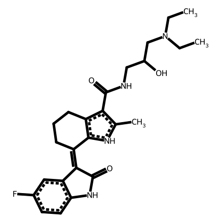 CCN(CC)CC(O)CNC(=O)c1c(C)[nH]c2c1CCC/C2=C1/C(=O)Nc2ccc(F)cc21